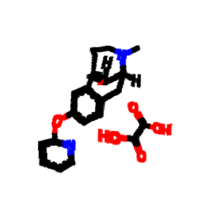 CN1CC[C@]23CCCC[C@H]2[C@H]1Cc1ccc(Oc2ccccn2)cc13.O=C(O)C(=O)O